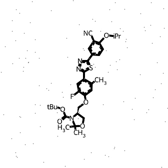 Cc1cc(OC[C@H]2COC(C)(C)N2C(=O)OC(C)(C)C)c(F)cc1-c1nnc(-c2ccc(OC(C)C)c(C#N)c2)s1